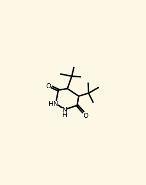 CC(C)(C)C1C(=O)NNC(=O)C1C(C)(C)C